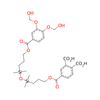 C[Si](C)(CCCOC(=O)c1ccc(OCO)c(OCO)c1)O[Si](C)(C)CCCOC(=O)c1ccc(C(=O)O)c(C(=O)O)c1